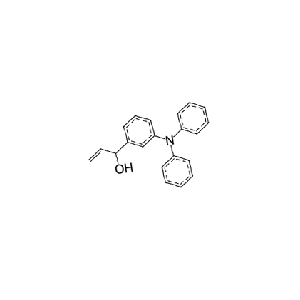 C=CC(O)c1cccc(N(c2ccccc2)c2ccccc2)c1